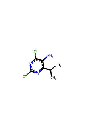 CC(C)c1nc(Cl)nc(Cl)c1N